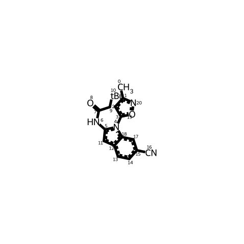 Cc1cc(-n2c(NC(=O)CC(C)(C)C)cc3ccc(C#N)cc32)on1